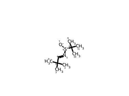 CC(C)(C)/C=N/[S@@+]([O-])C(C)(C)C